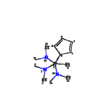 CC[N](C)[Zr]([CH2]C)([CH]1C=CC=C1)([N](C)CC)[N](C)CC